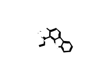 C=C/C(=N/C)c1c(C)ccc2c1sc1ccccc12